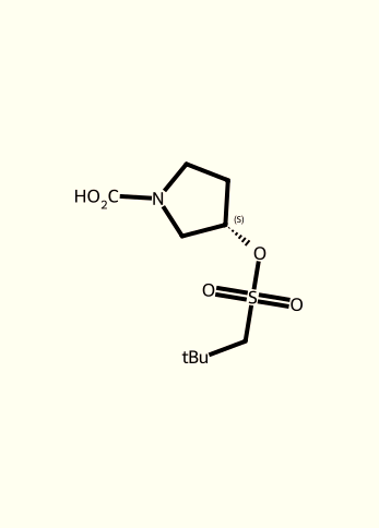 CC(C)(C)CS(=O)(=O)O[C@H]1CCN(C(=O)O)C1